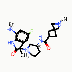 CCNc1cc(F)cc2c1NC(=O)C2(C)N1CCC[C@@H](NC(=O)C2CC3(C2)CN(C#N)C3)C1